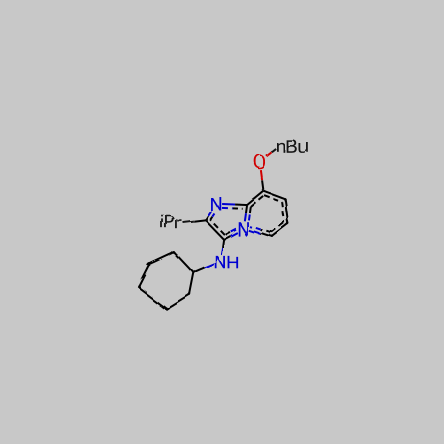 CCCCOc1cccn2c(NC3CCCCC3)c(C(C)C)nc12